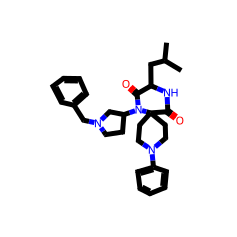 CC(C)CC1NC(=O)C2(CCN(c3ccccc3)CC2)N(C2CCN(Cc3ccccc3)C2)C1=O